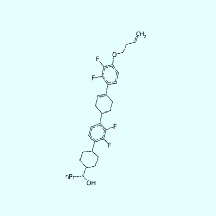 C=CCCOc1ccc(C2=CCC(c3ccc(C4CCC(C(O)CCC)CC4)c(F)c3F)CC2)c(F)c1F